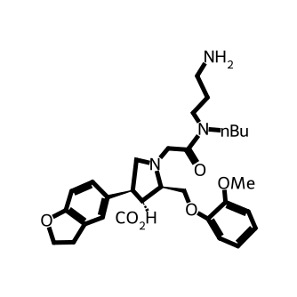 CCCCN(CCCN)C(=O)CN1C[C@H](c2ccc3c(c2)CCO3)[C@@H](C(=O)O)[C@@H]1COc1ccccc1OC